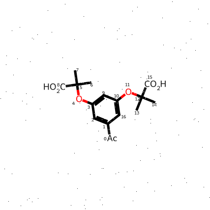 CC(=O)c1cc(OC(C)(C)C(=O)O)cc(OC(C)(C)C(=O)O)c1